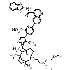 Cc1c(-c2ccc(-c3ccc4nccc(C(=O)Nc5nc6ccccc6s5)c4c3)nc2C(=O)O)cnn1CC12CCC(OCCN(C)CCSO)(CC3(C)CCC(C)(C3)C1C)C2